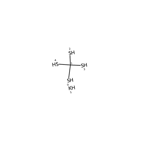 SC(S)(S)S.[KH]